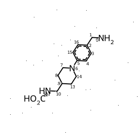 NCc1ccc(N2CCC(CNC(=O)O)CC2)cc1